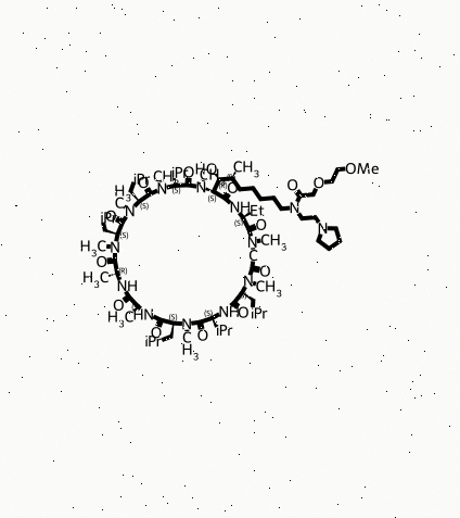 CC[C@@H]1NC(=O)[C@H]([C@H](O)[C@H](C)CCCCCN(CCN2CCCC2)C(=O)COCCOC)N(C)C(=O)[C@H](C(C)C)N(C)C(=O)[C@H](CC(C)C)N(C)C(=O)[C@H](CC(C)C)N(C)C(=O)[C@@H](C)NC(=O)[C@H](C)NC(=O)[C@H](CC(C)C)N(C)C(=O)[C@H](C(C)C)NC(=O)[C@H](CC(C)C)N(C)C(=O)CN(C)C1=O